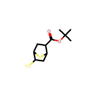 CC(C)(C)OC(=O)C1CC2SC1CC2S